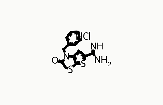 Cl.N=C(N)c1cc2c(s1)SCC(=O)N2Cc1ccccc1